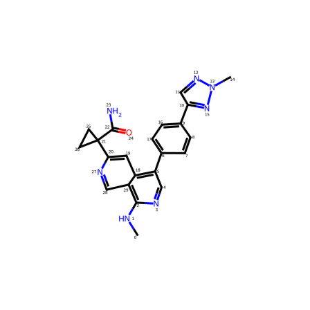 CNc1ncc(-c2ccc(-c3cnn(C)n3)cc2)c2cc(C3(C(N)=O)CC3)ncc12